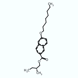 CCCCCCCCOc1ccc2cc(C(=O)OC[C@@H](C)CC)ccc2c1